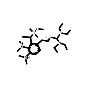 CCN(CC)C([SiH2]CCc1ccc([SiH](C)C)c([SiH](C)C)c1C(C)[Si](C)(C)OC)N(CC)CC